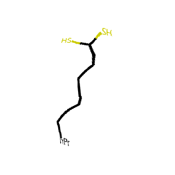 [CH2]CCCCCCC(S)S